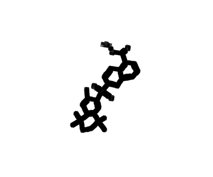 CCCCOC(=O)c1cccc2cc(S(=O)(=O)c3cc4c(cc3C)C(C)(C)CCC4(C)C)ccc12